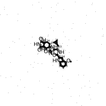 COc1cccc2[nH]c(C(=O)N[C@@H](CC3CC3)C(=O)N[C@@]3(C#N)CC[C@@H]4C(=O)NC(=O)[C@@H]4[C@@H]3O)cc12